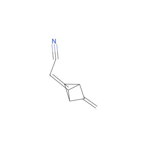 C=C1C2CC1C2=CC#N